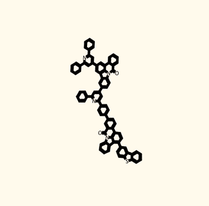 O=c1c2ccccc2c2cc(-c3cc(-c4ccccc4)nc(-c4ccccc4)c3)cc3c4cc(-c5cc(-c6ccccc6)nc(-c6ccc(-c7ccc8c(c7)c(=O)n7c9ccccc9c9c(-c%10ccc%11sc%12ccccc%12c%11c%10)ccc8c97)cc6)c5)ccc4n1c23